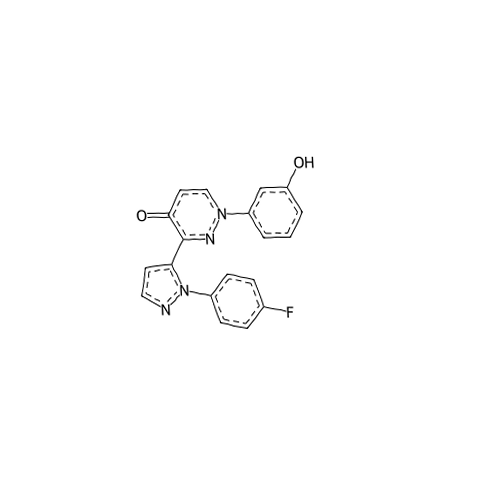 O=c1ccn(-c2cccc(O)c2)nc1-c1ccnn1-c1ccc(F)cc1